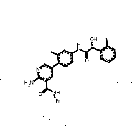 Cc1cc(NC(=O)C(O)c2ccccc2C)ccc1-c1cnc(N)c(C(=O)NC(C)C)c1